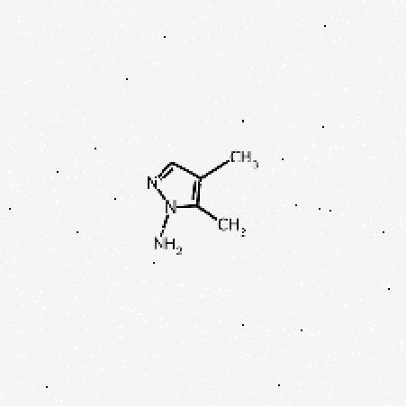 Cc1cnn(N)c1C